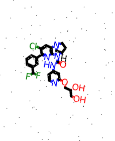 O=C(Nc1ccnc(OC[C@@H](O)CO)c1)N1c2nc(-c3cccc(C(F)F)c3)c(Cl)cc2N2CC[C@H]1C2